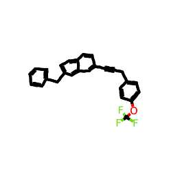 FC(F)(F)Oc1ccc(CC#Cc2ccc3ccc(Cc4ccccc4)cc3c2)cc1